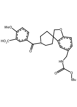 COc1ccc(C(=O)N2CCC3(CC2)COc2ccc(CNC(=O)OC(C)(C)C)cc23)cc1C(=O)O